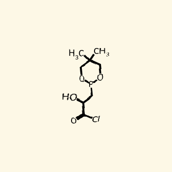 CC1(C)COP(CC(O)C(=O)Cl)OC1